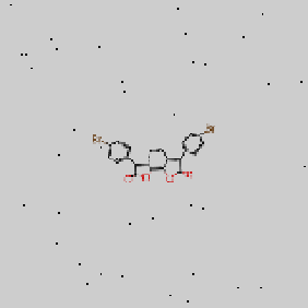 O=C1Oc2c3c(ccc2=C1c1ccc(Br)cc1)=C(c1ccc(Br)cc1)C(=O)O3